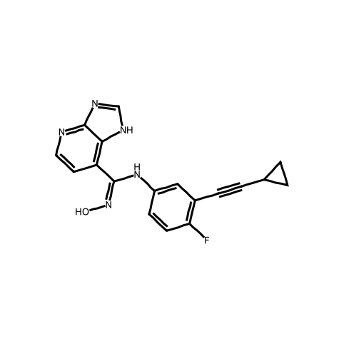 O/N=C(/Nc1ccc(F)c(C#CC2CC2)c1)c1ccnc2nc[nH]c12